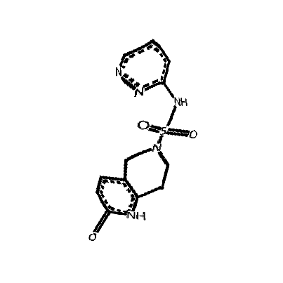 O=c1ccc2c([nH]1)CCN(S(=O)(=O)Nc1cccnn1)C2